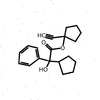 C#CC1(OC(=O)C(O)(c2ccccc2)C2CCCC2)CCCC1